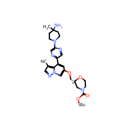 CC1(N)CCN(c2cnc(-c3cc(OC[C@H]4CN(C(=O)OC(C)(C)C)CCO4)cn4ncc(C#N)c34)cn2)CC1